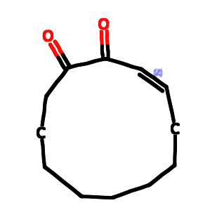 O=C1/C=C\CCCCCCCCC1=O